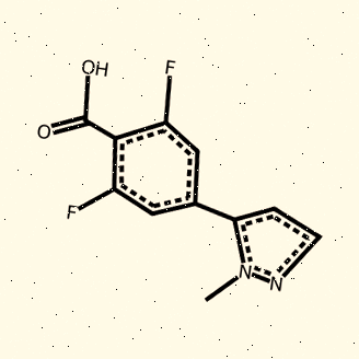 Cn1nccc1-c1cc(F)c(C(=O)O)c(F)c1